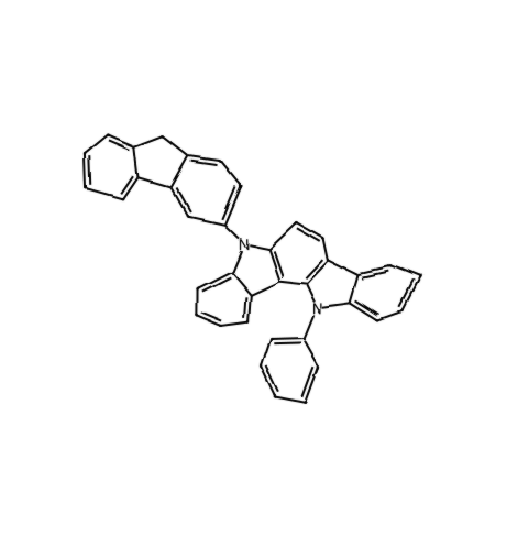 c1ccc(-n2c3ccccc3c3ccc4c(c5ccccc5n4-c4ccc5c(c4)-c4ccccc4C5)c32)cc1